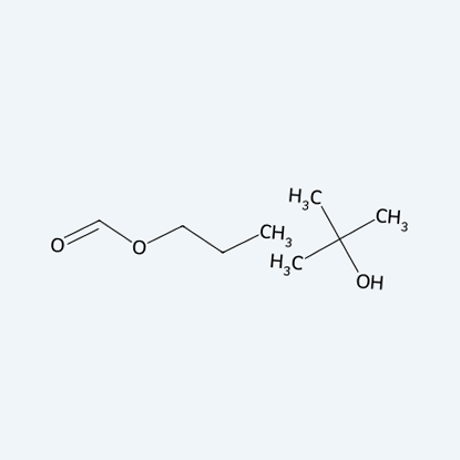 CC(C)(C)O.CCCOC=O